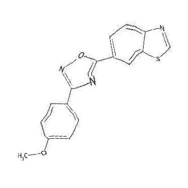 COc1ccc(-c2noc(-c3ccc4ncsc4c3)n2)cc1